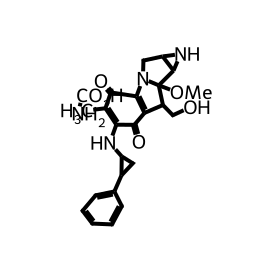 COC12C(CO)C3=C(C(=O)C(C)=C(NC4CC4c4ccccc4)C3=O)N1CC1NC12.NC(=O)O